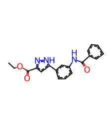 CCOC(=O)c1cc(-c2cccc(NC(=O)c3ccccc3)c2)[nH]n1